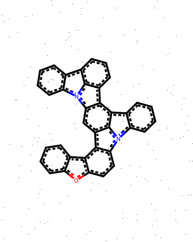 c1ccc2c(c1)oc1ccc3c(c4cc5c(c6cccc7c8ccccc8n5c76)c5c6ccccc6n3c45)c12